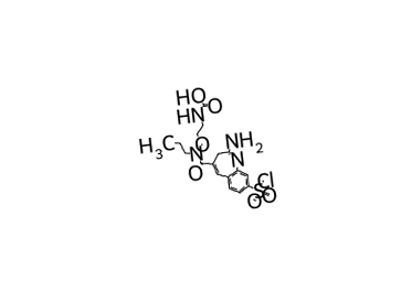 CCCN(OCCNC(=O)O)C(=O)C1=Cc2ccc(S(=O)(=O)Cl)cc2N=C(N)C1